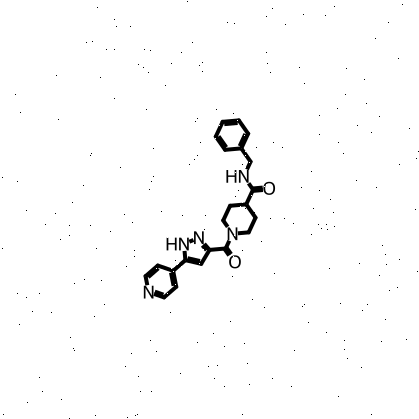 O=C(NCc1ccccc1)C1CCN(C(=O)c2cc(-c3ccncc3)[nH]n2)CC1